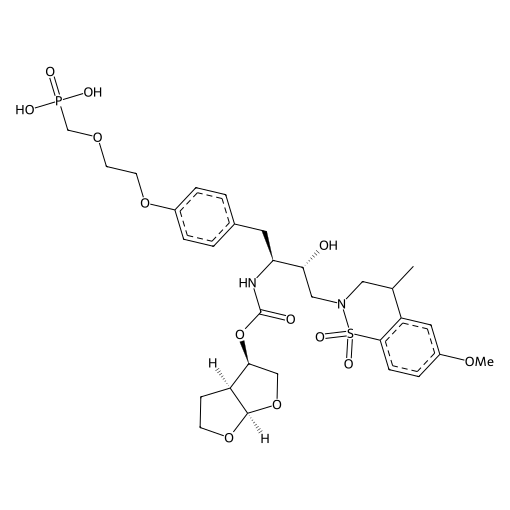 COc1ccc2c(c1)C(C)CN(C[C@@H](O)[C@H](Cc1ccc(OCCOCP(=O)(O)O)cc1)NC(=O)O[C@H]1CO[C@H]3OCC[C@H]31)S2(=O)=O